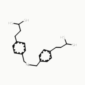 SC(S)CCc1ccc([CH2][Ni][CH2]c2ccc(CCC(S)S)cc2)cc1